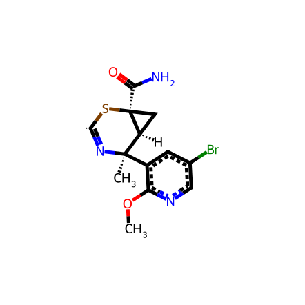 COc1ncc(Br)cc1[C@@]1(C)N=[C]S[C@@]2(C(N)=O)C[C@H]21